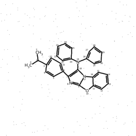 CC(C)c1ccc(-c2nc3oc4ccccc4n3c2N(c2ccccc2)c2ccccc2)cc1